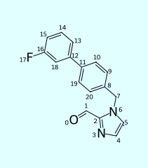 O=Cc1nc[c]n1Cc1ccc(-c2cccc(F)c2)cc1